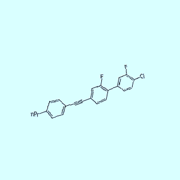 CCCc1ccc(C#Cc2ccc(-c3ccc(Cl)c(F)c3)c(F)c2)cc1